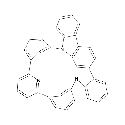 c1cc2nc(c1)c1cccc(c1)n1c3ccccc3c3ccc4c5ccccc5n(c5cccc2c5)c4c31